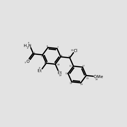 CCc1c(C(N)=O)ccc(C(Cl)c2cccc(OC)c2)c1CC